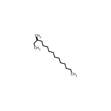 C=C(CC)CCCCCCCCCCCC